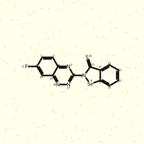 Fc1ccc2nc(-n3[se]c4ccccc4c3=S)nnc2c1